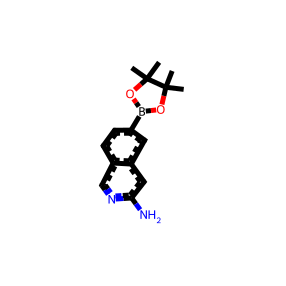 CC1(C)OB(c2ccc3cnc(N)cc3c2)OC1(C)C